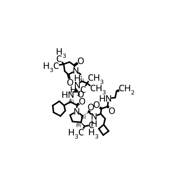 C=CCNC(=O)C(=O)C(CC1CCC1)NC(=O)[C@@H]1[C@@H](C(C)C)CCN1C(=O)[C@@H](NC(=O)N[C@H](CN1C(=O)CC(C)(C)CC1=O)C(C)(C)C)C1CCCCC1